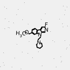 COCc1ccc2c3cc(F)ncc3n(CCN3CCCCC3)c2c1